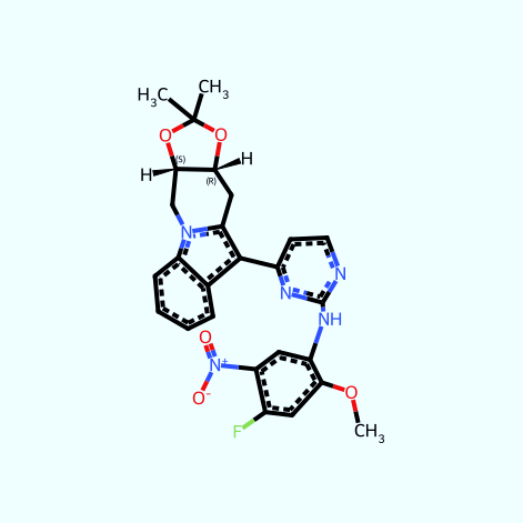 COc1cc(F)c([N+](=O)[O-])cc1Nc1nccc(-c2c3n(c4ccccc24)C[C@@H]2OC(C)(C)O[C@@H]2C3)n1